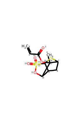 C=CC(=O)OC1(C)C2CC3C1OS(=O)(=O)C3S2